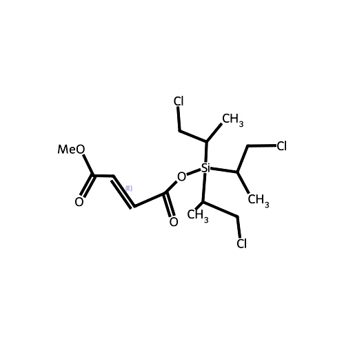 COC(=O)/C=C/C(=O)O[Si](C(C)CCl)(C(C)CCl)C(C)CCl